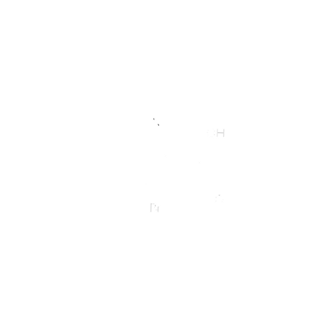 OC1(c2ncccc2Br)COC1